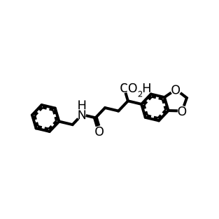 O=C(CCC(C(=O)O)c1ccc2c(c1)OCO2)NCc1ccccc1